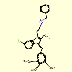 COc1cc(/C=C2/C(C)=C(CCNCc3ccccc3)c3cc(F)ccc32)cc(OC)c1OC